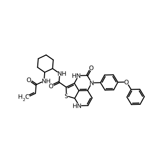 C=CC(=O)NC1CCCCC1NC(=O)C1=C2NC(=O)N(c3ccc(Oc4ccccc4)cc3)C3=C2C(NC=C3)S1